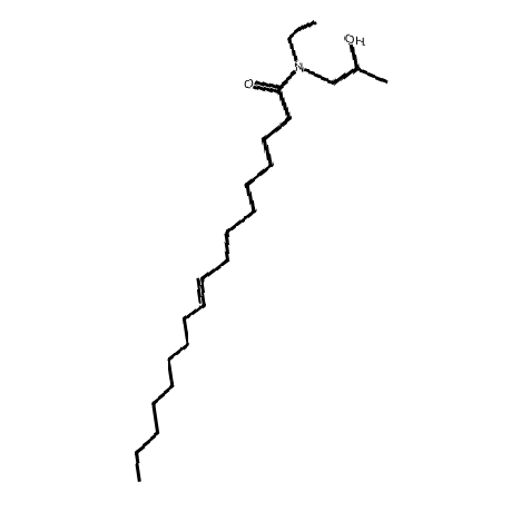 CCCCCCCCC=CCCCCCCCC(=O)N(CC)CC(C)O